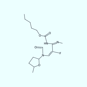 CCCCCOC(=O)NC(=N/C)/C(F)=C\N(C=O)C1CCC(C)O1